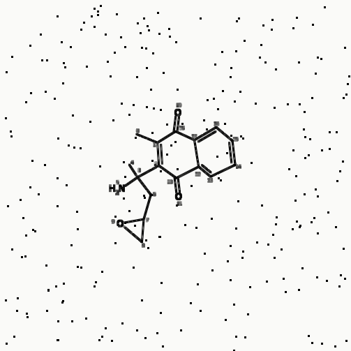 CC1=C(C(C)(N)CC2CO2)C(=O)c2ccccc2C1=O